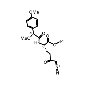 COc1ccc([C@H](OC)C(=O)N[C@@H](CCC(=O)C=[N+]=[N-])C(=O)OC(C)C)cc1